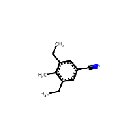 CCc1cc(C#N)cc(CC)c1C